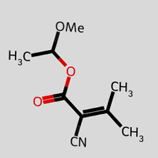 COC(C)OC(=O)C(C#N)=C(C)C